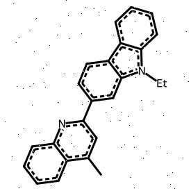 CCn1c2ccccc2c2ccc(-c3cc(C)c4ccccc4n3)cc21